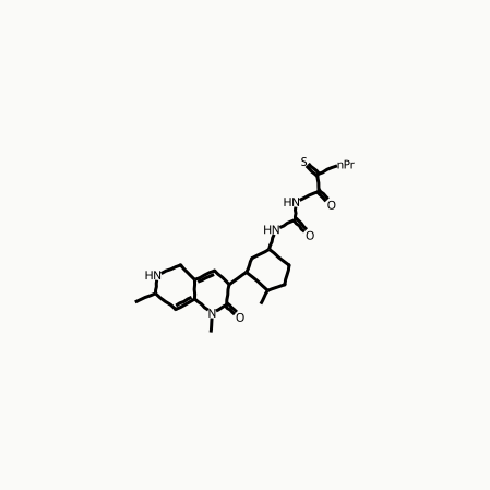 CCCC(=S)C(=O)NC(=O)NC1CCC(C)C(C2C=C3CNC(C)C=C3N(C)C2=O)C1